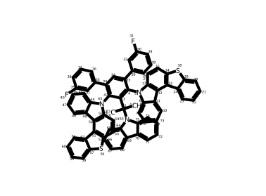 CC(C)(c1c(-n2c3ccccc3c3c4c(ccc32)sc2ccccc24)c(-c2cccc(F)c2)cc(-c2cccc(F)c2)c1-n1c2ccccc2c2c3c(ccc21)sc1ccccc13)n1c2ccccc2c2ccccc21